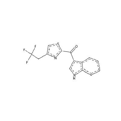 O=C(c1nc(CC(F)(F)F)cs1)c1c[nH]c2ccccc12